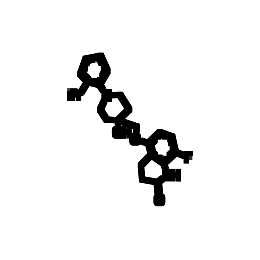 CC(C)c1ccccc1N1CCC(O)(COc2ccc(F)c3c2CCC(=O)N3)CC1